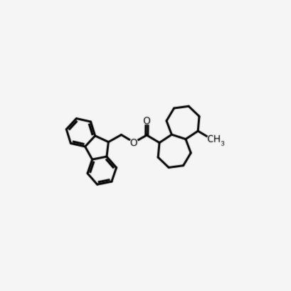 CC1CCCCC2C(C(=O)OCC3c4ccccc4-c4ccccc43)CCCCC12